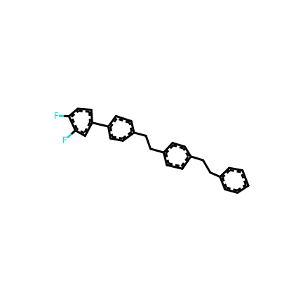 Fc1ccc(-c2ccc(CCc3ccc(CCc4ccccc4)cc3)cc2)cc1F